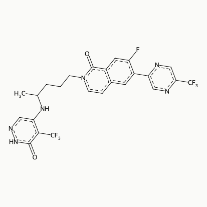 CC(CCCn1ccc2cc(-c3cnc(C(F)(F)F)cn3)c(F)cc2c1=O)Nc1cn[nH]c(=O)c1C(F)(F)F